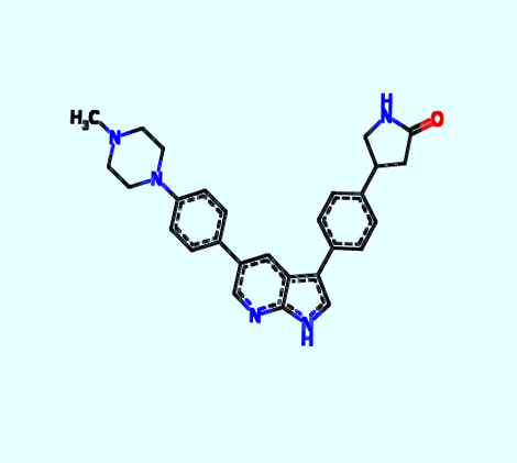 CN1CCN(c2ccc(-c3cnc4[nH]cc(-c5ccc(C6CNC(=O)C6)cc5)c4c3)cc2)CC1